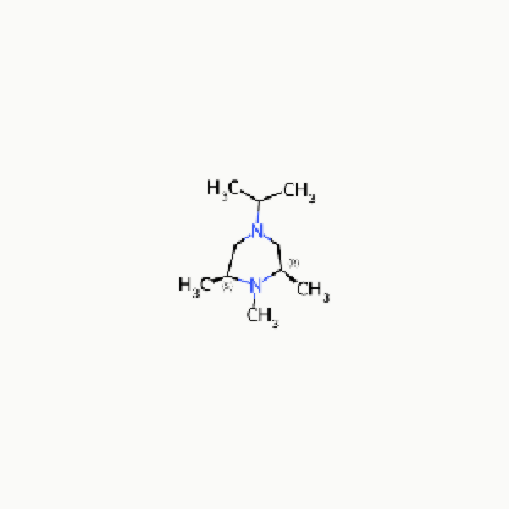 CC(C)N1C[C@@H](C)N(C)[C@@H](C)C1